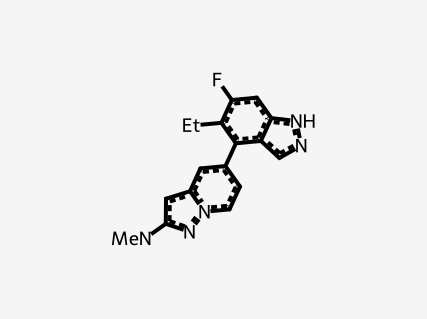 CCc1c(F)cc2[nH]ncc2c1-c1ccn2nc(NC)cc2c1